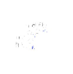 CC(C)c1c(C#N)cc2c(c1C(C)C)c1cccc3c4c(C(C)C)c(C(C)C)c(C#N)cc4n2c13